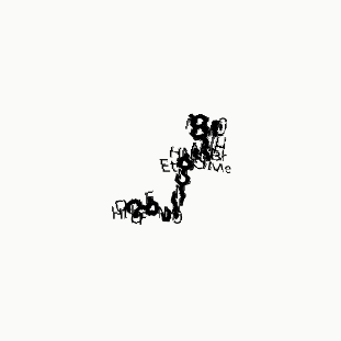 CCc1cc(Nc2ncc(Br)c(Nc3ccc4nc(C)ccc4c3P(C)(C)=O)n2)c(OC)cc1N1CCC(N2CCN(C(=O)[C@@H]3CCN(c4cc(F)c(C5CCC(=O)NC5=O)c(F)c4)C3)CC2)CC1